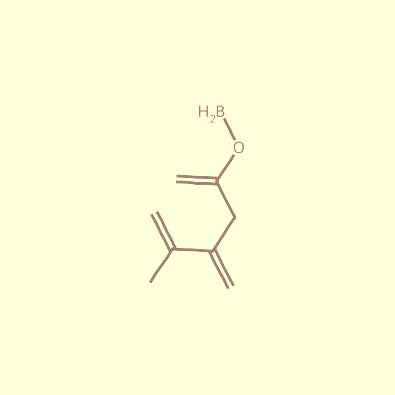 BOC(=C)CC(=C)C(=C)C